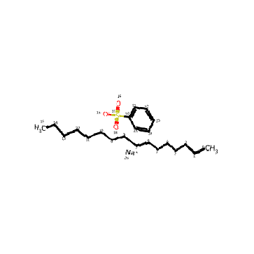 CCCCCCCCCCCCCCCC.O=S(=O)([O-])c1ccccc1.[Na+]